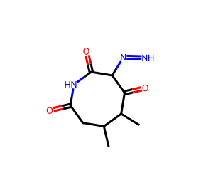 CC1CC(=O)NC(=O)C(N=N)C(=O)C1C